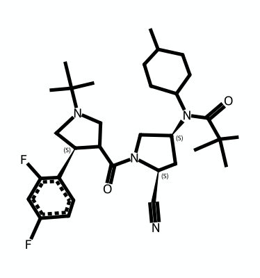 CC1CCC(N(C(=O)C(C)(C)C)[C@H]2C[C@@H](C#N)N(C(=O)C3CN(C(C)(C)C)C[C@@H]3c3ccc(F)cc3F)C2)CC1